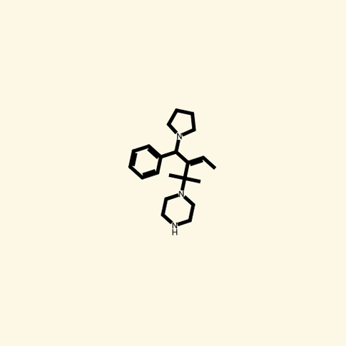 C/C=C(/C(c1ccccc1)N1CCCC1)C(C)(C)N1CCNCC1